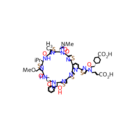 CNC(=O)C[C@@H]1NC(=O)c2csc(n2)-c2ccc(-c3nc(N(C/C=C/C(=O)O)C(=O)C[C@H]4CC[C@H](C(=O)O)CC4)cs3)nc2-c2csc(n2)-c2csc(n2)[C@H]([C@@H](O)c2ccccc2)NC(=O)CNC(=O)c2nc(sc2COC)C(C(C)C)NC(=O)c2nc1sc2C